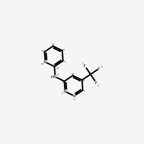 FC(F)(F)c1cnnc(Nc2ccccn2)c1